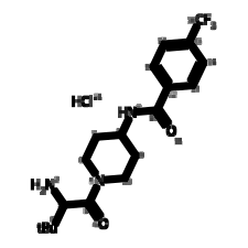 CC(C)(C)C(N)C(=O)N1CCC(NC(=O)c2ccc(C(F)(F)F)cc2)CC1.Cl